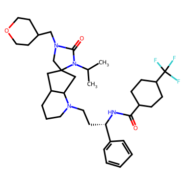 CC(C)N1C(=O)N(CC2CCOCC2)CC12CC1CCCN(CC[C@H](NC(=O)C3CCC(C(F)(F)F)CC3)c3ccccc3)C1C2